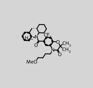 COCCCCN1C(=O)C(C)(C)Oc2cc(C(F)(F)F)c(C(=O)N(C)C3CCCC[C@H]3Cc3ccccc3)cc21